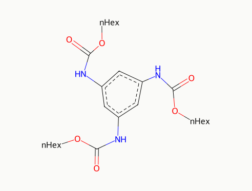 CCCCCCOC(=O)Nc1cc(NC(=O)OCCCCCC)cc(NC(=O)OCCCCCC)c1